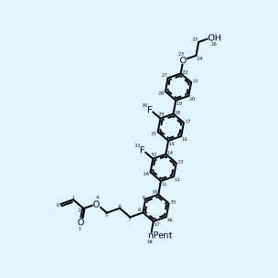 C=CC(=O)OCCCc1cc(-c2ccc(-c3ccc(-c4ccc(OCCO)cc4)c(F)c3)c(F)c2)ccc1CCCCC